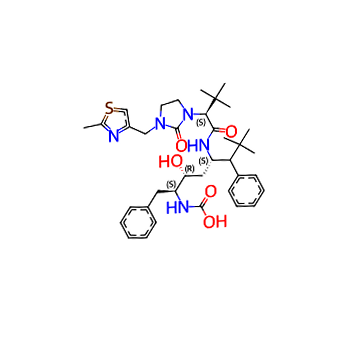 Cc1nc(CN2CCN([C@H](C(=O)N[C@@H](C[C@@H](O)[C@H](Cc3ccccc3)NC(=O)O)C(c3ccccc3)C(C)(C)C)C(C)(C)C)C2=O)cs1